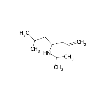 C=CCC(CC(C)C)NC(C)C